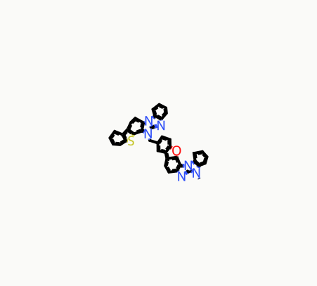 Cn1c2ccccc2n2c3c(ccc4c5cc(Cn6c7c8sc9ccccc9c8ccc7n7c8ccccc8nc67)ccc5oc43)nc12